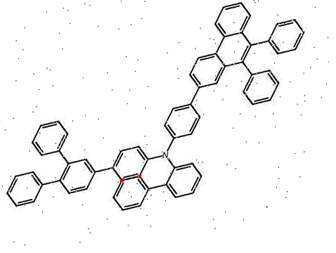 c1ccc(-c2ccc(-c3ccc(N(c4ccc(-c5ccc6c(c5)c(-c5ccccc5)c(-c5ccccc5)c5ccccc56)cc4)c4ccccc4-c4ccccc4)cc3)cc2-c2ccccc2)cc1